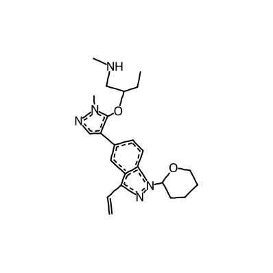 C=Cc1nn(C2CCCCO2)c2ccc(-c3cnn(C)c3OC(CC)CNC)cc12